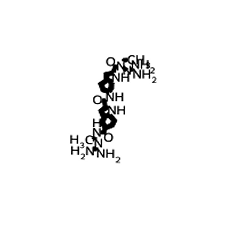 CCN(N=C(N)N)C(=O)c1cc2ccc(NC(=O)c3cc4cc(C(=O)NC(C)N=C(N)N)ccc4[nH]3)cc2[nH]1